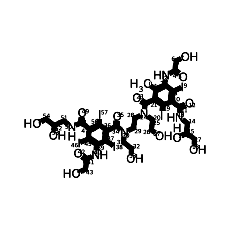 Cc1c(NC(=O)CO)c(I)c(C(=O)NCC(O)CO)c(I)c1C(=O)N(CCO)CCN(CCO)C(=O)c1c(I)c(NC(=O)CO)c(I)c(C(=O)NCC(O)CO)c1I